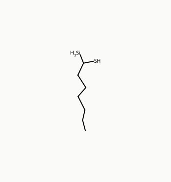 CCCCCCC([SiH3])S